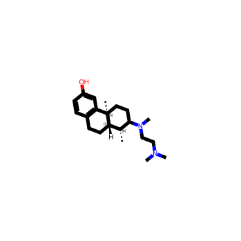 C[C@H]1C(N(C)CCN(C)C)CC[C@]2(C)c3cc(O)ccc3CC[C@@H]12